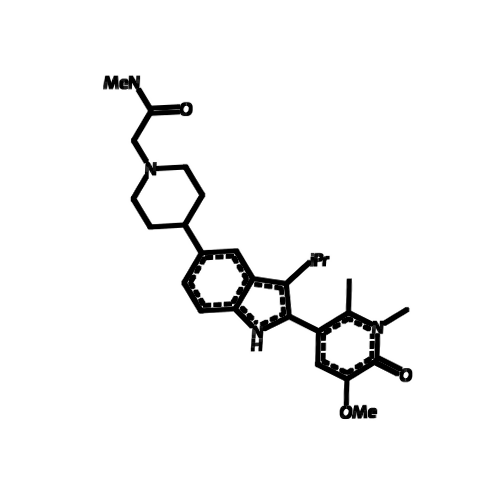 CNC(=O)CN1CCC(c2ccc3[nH]c(-c4cc(OC)c(=O)n(C)c4C)c(C(C)C)c3c2)CC1